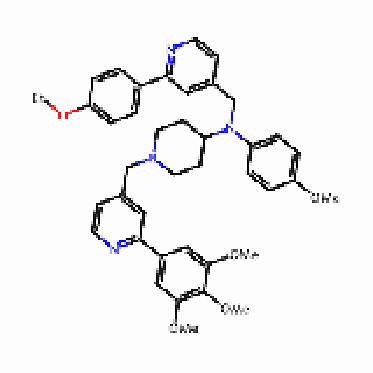 CCOc1ccc(-c2cc(CN(c3ccc(OC)cc3)C3CCN(Cc4ccnc(-c5cc(OC)c(OC)c(OC)c5)c4)CC3)ccn2)cc1